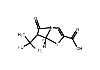 CC(C)(O)C1C(=O)N2C=C(C(=O)O)S[C@H]12